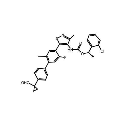 Cc1cc(-c2snc(C)c2NC(=O)O[C@H](C)c2ccccc2Cl)c(F)cc1-c1ccc(C2(C=O)CC2)cc1